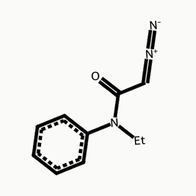 CCN(C(=O)C=[N+]=[N-])c1ccccc1